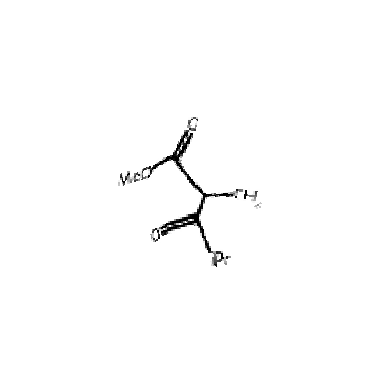 COC(=O)C(C)C(=O)C(C)C